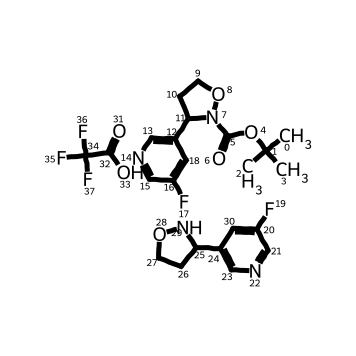 CC(C)(C)OC(=O)N1OCCC1c1cncc(F)c1.Fc1cncc(C2CCON2)c1.O=C(O)C(F)(F)F